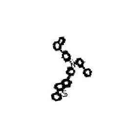 c1ccc(-c2cccc(N(c3ccc(-c4ccc5c(ccc6c7ccccc7sc56)c4)cc3)c3ccc(-c4cccc5ccccc45)cc3)c2)cc1